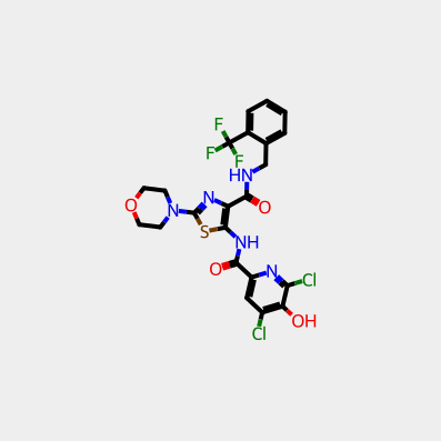 O=C(Nc1sc(N2CCOCC2)nc1C(=O)NCc1ccccc1C(F)(F)F)c1cc(Cl)c(O)c(Cl)n1